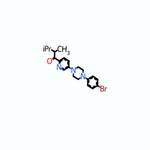 CC(C)C(C)C(=O)c1ccc(N2CCN(c3ccc(Br)cc3)CC2)cn1